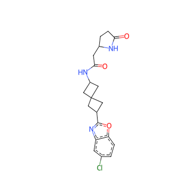 O=C1CCC(CC(=O)NC2CC3(C2)CC(c2nc4cc(Cl)ccc4o2)C3)N1